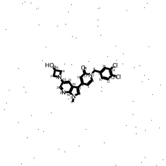 Cn1cc(-c2ccn(Cc3ccc(Cl)c(Cl)c3)c(=O)c2)c2cc(N3CC(O)C3)cnc21